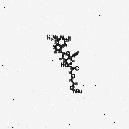 C#C[C@]1(COC(=O)COCCOCCCC)O[C@@H](n2cnc3c(N)nc(F)nc32)C[C@@H]1O